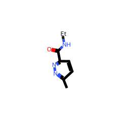 CCNC(=O)c1ccc(C)nn1